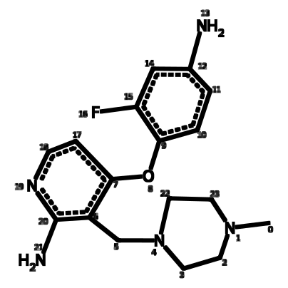 CN1CCN(Cc2c(Oc3ccc(N)cc3F)ccnc2N)CC1